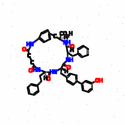 O=C1CCC(=O)N[C@H](CCc2ccccc2)C(=O)N[C@@H](Cc2ccc(-c3cccc(O)c3)cc2)C(=O)N[C@H](Cc2ccccc2)C(=O)N[C@H](C(=O)O)Cc2ccc(cc2)N1